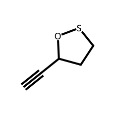 C#CC1CCSO1